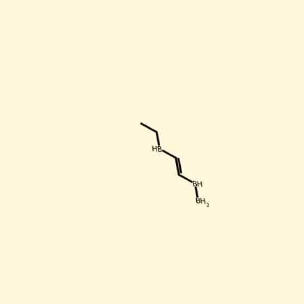 BB/C=C/BCC